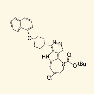 CC(C)(C)OC(=O)N1CC=C(Cl)C=c2[nH]c3c(c21)CN=NC=3[C@H]1CC[C@H](Oc2cccc3ccccc23)CC1